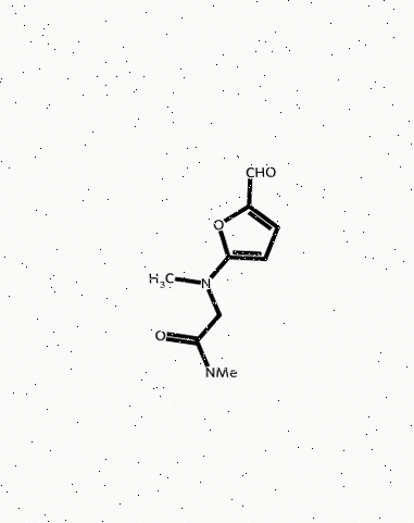 CNC(=O)CN(C)c1ccc(C=O)o1